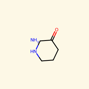 N.O=C1CCCNC1